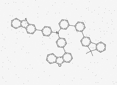 CC1(C)c2ccccc2-c2cc(-c3cccc(-c4cccc(N(c5ccc(-c6ccc7c(c6)sc6ccccc67)cc5)c5ccc(-c6cccc7oc8ccccc8c67)cc5)c4)c3)ccc21